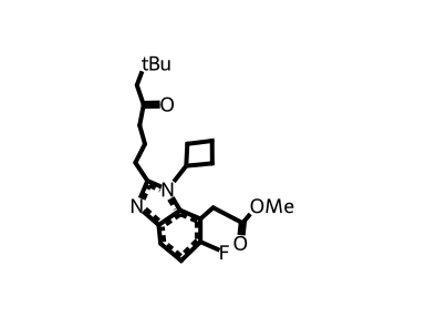 COC(=O)Cc1c(F)ccc2nc(CCCC(=O)CC(C)(C)C)n(C3CCC3)c12